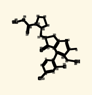 Cc1nc2c(c(-c3ccc(Cl)cc3Cl)c1CO)C(=O)N(C[C@@H]1CCCN1C(=O)OC(C)(C)C)C2